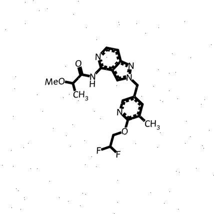 COC(C)C(=O)Nc1nccc2nn(Cc3cnc(OCC(F)F)c(C)c3)cc12